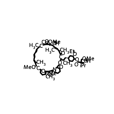 [2H]OCC(COC)(C(=O)OC1CC[C@@H](C[C@@H](C)[C@@H]2CC(=O)[C@H](C)/C=C(\C)[C@@H](O[2H])[C@@H](OC)C(=O)[C@H](C)C[C@H](C)/C=C/C=C/C=C(\C)[C@@H](OC)CC3CC[C@@H](C)[C@@](OC)(O3)C(=O)C(=O)N3CCCCC3C(=O)O2)C[C@H]1OCC)C(C)C